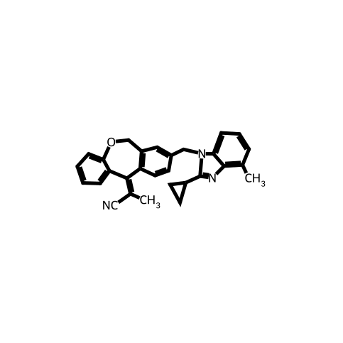 CC(C#N)=C1c2ccc(Cn3c(C4CC4)nc4c(C)cccc43)cc2COc2ccccc21